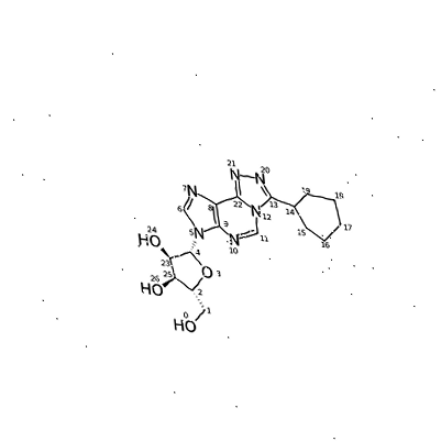 OC[C@H]1O[C@@H](n2cnc3c2ncn2c(C4CCCCC4)nnc32)[C@H](O)[C@@H]1O